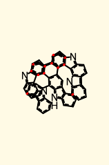 c1ccc(-c2ccc3c(c2-c2cc4c([nH]c5ccccc54)c(-c4ccccc4)c2-c2c(-c4ccccc4)ccc4c2-c2c5c(ccc2=N4)=c2ccccc2=N5)-c2c4c(ccc2=N3)=c2ccccc2=N4)cc1